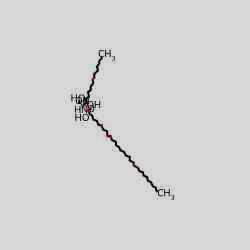 CCCCCCCCCCCCCCCCCCCCCCCCCCCCCCCC(O)C(=O)N[C@H](CO)[C@H](O)C(O)CCCCCCCCCCCCCC